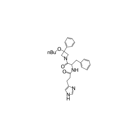 CCCCOC1(c2ccccc2)CN(C(=O)C(Cc2ccccc2)NC(=O)CCc2c[nH]cn2)C1